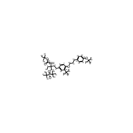 CCC(CCc1ccc(OCCCc2ccc(OC(F)(F)F)cc2)c(C(F)(F)F)c1)(COP(=O)(C(C)(C)C)C(C)(C)C)NC(=O)OC(C)(C)C